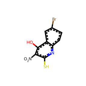 O=[N+]([O-])c1c(S)nc2ccc(Br)cc2c1O